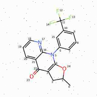 CC1Cc2c(n(-c3cccc(C(F)(F)F)c3)c3ncccc3c2=O)O1